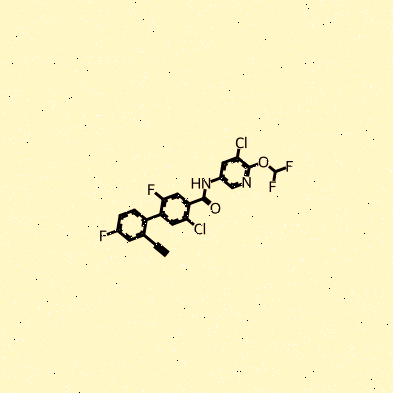 C#Cc1cc(F)ccc1-c1cc(Cl)c(C(=O)Nc2cnc(OC(F)F)c(Cl)c2)cc1F